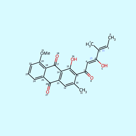 C/C=C(C)/C(O)=C/C(=O)c1c(C)cc2c(c1O)C(=O)c1c(OC)cccc1C2=O